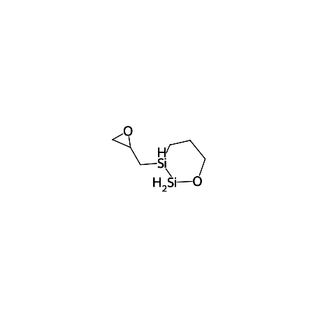 C1CO[SiH2][SiH](CC2CO2)C1